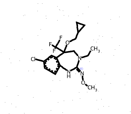 CCN1CC(OCC2CC2)(C(F)(F)F)c2cc(Cl)ccc2N/C1=N\OC